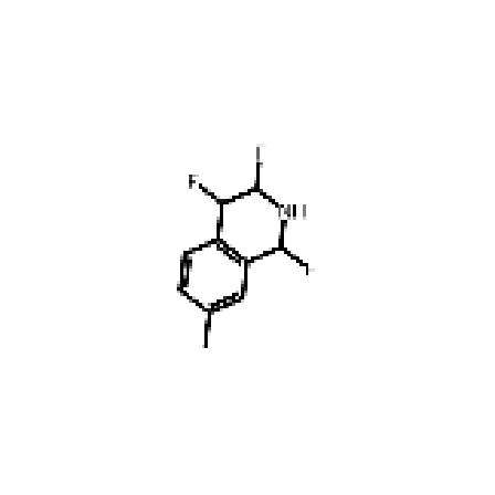 Cc1ccc2c(c1)C(F)NC(F)C2F